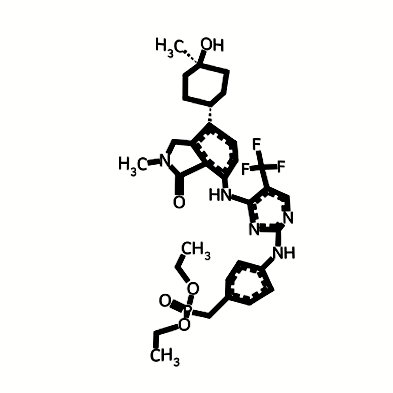 CCOP(=O)(Cc1ccc(Nc2ncc(C(F)(F)F)c(Nc3ccc([C@H]4CC[C@](C)(O)CC4)c4c3C(=O)N(C)C4)n2)cc1)OCC